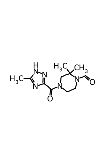 Cc1nc(C(=O)N2CCN(C=O)C(C)(C)C2)n[nH]1